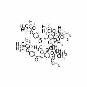 CCCc1cc(C=CC(=O)c2ccc(OC(=O)C(C)(C)C)cc2)c(OCC)c(OC)c1OC(=O)C(C)(C)C.CCOc1c(C=CC(=O)c2ccc(OC(=O)C(C)(C)C)cc2)cc(C(C)(C)CC)c(OC(=O)C(C)(C)C)c1OC